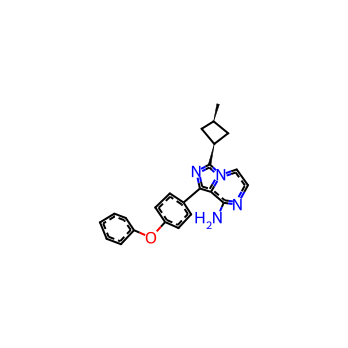 C[C@H]1C[C@@H](c2nc(-c3ccc(Oc4ccccc4)cc3)c3c(N)nccn32)C1